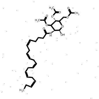 CC/C=C\C/C=C\C/C=C\C/C=C\C/C=C\CCCC(=O)N[C@H]1C(OC(C)=O)[C@H](OC(C)=O)C(COC(C)=O)O[C@H]1O